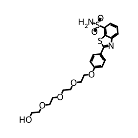 NS(=O)(=O)c1cccc2nc(-c3ccc(OCCOCCOCCOCCO)cc3)sc12